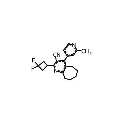 Cc1cc(-c2c(C#N)c(C3CC(F)(F)C3)nc3c2CCCCC3)ccn1